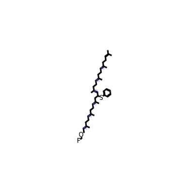 CC(C)=CCC/C(C)=C/CC/C(C)=C/CC/C(C)=C/C(C/C(C)=C/CC/C(C)=C/CC/C(C)=C/COCF)Sc1ccccc1